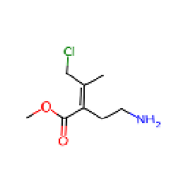 COC(=O)C(CCN)=C(C)CCl